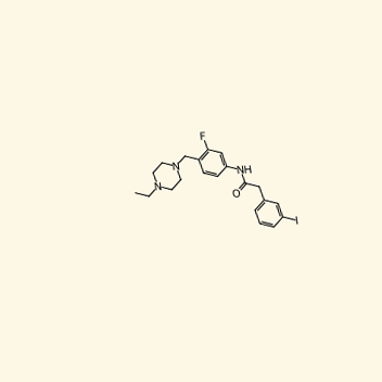 CCN1CCN(Cc2ccc(NC(=O)Cc3cccc(I)c3)cc2F)CC1